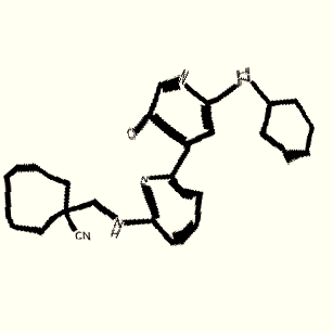 N#CC1(CNc2cccc(-c3cc(NC4CCCCC4)ncc3Cl)n2)CCCCC1